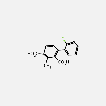 Cc1c(C(=O)O)ccc(-c2ccccc2F)c1C(=O)O